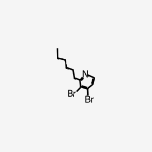 CCCCCCc1nccc(Br)c1Br